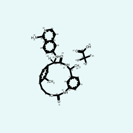 Cc1cc2ccc1CCOC(=O)Nc1cccc(c1)C(C)NC(=O)[C@H]2Nc1ccc2c(N)nccc2c1.O=C(O)C(F)(F)F